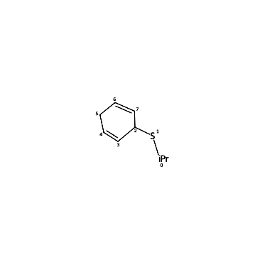 CC(C)SC1C=CCC=C1